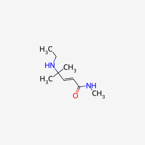 CCNC(C)(C)C=CC(=O)NC